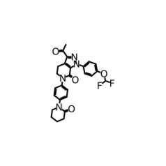 CC(=O)c1nn(-c2ccc(OC(F)F)cc2)c2c1CCN(c1ccc(N3CCCCC3=O)cc1)C2=O